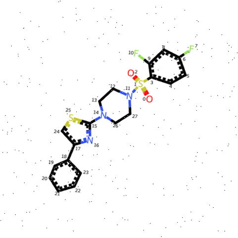 O=S(=O)(c1ccc(F)cc1F)N1CCN(c2nc(-c3ccccc3)cs2)CC1